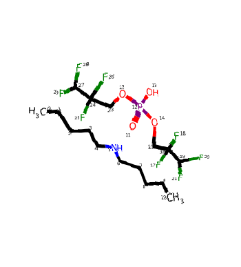 CCCCCNCCCCC.O=P(O)(OCC(F)(F)C(F)F)OCC(F)(F)C(F)F